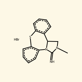 Br.CN1CC2c3ccccc3Sc3ccccc3N2C1=N